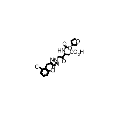 O=C(O)CC(NC(=O)OC1CCOC1)C(=O)Cn1nnc(Cc2c(Cl)cccc2Cl)n1